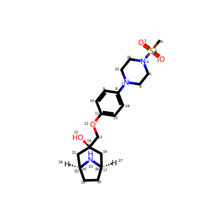 CS(=O)(=O)N1CCN(c2ccc(OC[C@]3(O)C[C@H]4CC[C@@H](C3)N4)cc2)CC1